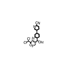 N#Cc1ccc(-c2ccc([C@H](O)[C@@H](CF)NC(=O)C(Cl)Cl)cc2)cn1